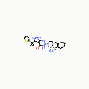 N[C@@H]1c2ccccc2CC12CCN(c1nc3[nH]nc(C4(c5cccs5)CC4)c3c(=O)[nH]1)CC2